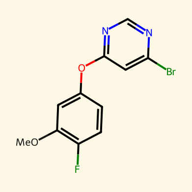 COc1cc(Oc2cc(Br)ncn2)ccc1F